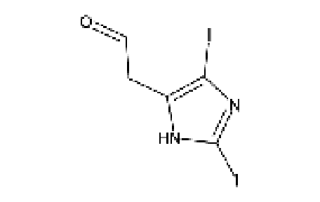 O=CCc1[nH]c(I)nc1I